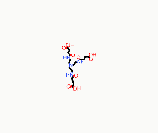 O=C(O)CCC(=O)NCCN(CCNC(=O)CCC(=O)O)CCNC(=O)CCC(=O)O